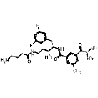 CCCN(CCC)C(=O)c1cc(C)cc(C(=O)N[C@@H](Cc2cc(F)cc(F)c2)[C@H](O)CCNC(=O)CCCN)c1